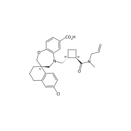 C=CCN(C)C(=O)[C@@H]1CC[C@H]1CN1C[C@@]2(CCCc3cc(Cl)ccc32)COc2ccc(C(=O)O)cc21